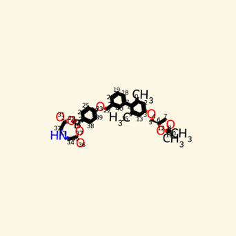 Cc1cc(OC[C@H]2COC(C)(C)O2)cc(C)c1-c1cccc(COc2ccc(B3OC(=O)CNCC(=O)O3)cc2)c1